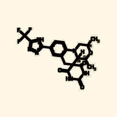 C[C@@H]1CN2c3ccc(-c4nnc(C(F)(F)F)[nH]4)cc3CC3(C(=O)NC(=O)NC3=O)[C@H]2[C@H](C)O1